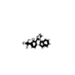 FC(F)(F)c1cccc(-c2nncn2[C@@H]2CCc3ccccc32)c1Cl